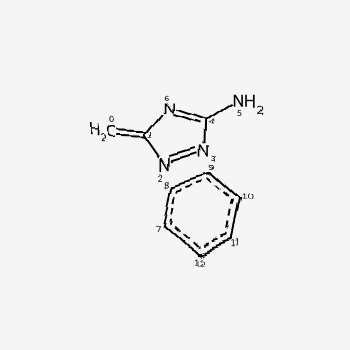 C=C1N=NC(N)=N1.c1ccccc1